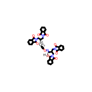 CC#CON=C(C)C(CN1C(=O)c2ccccc2C1=O)CN1C(=O)c2ccccc2C1=O.CC(=O)C(CN1C(=O)c2ccccc2C1=O)CN1C(=O)c2ccccc2C1=O